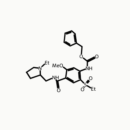 CCN1CCCC1CNC(=O)c1cc(S(=O)(=O)CC)c(NC(=O)OCc2ccccc2)cc1OC